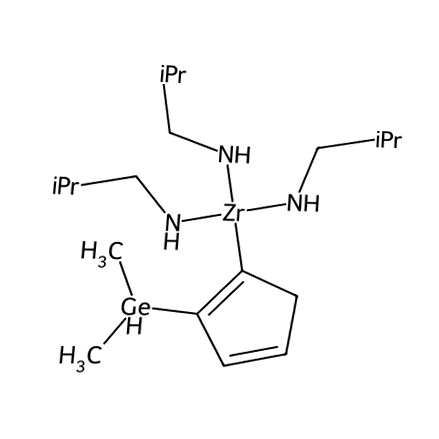 CC(C)C[NH][Zr]([NH]CC(C)C)([NH]CC(C)C)[C]1=[C]([GeH]([CH3])[CH3])C=CC1